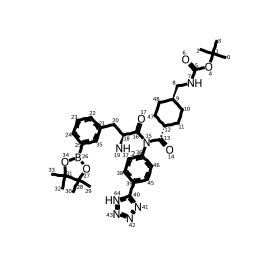 CC(C)(C)OC(=O)NC[C@H]1CC[C@H](C(=O)N(C(=O)[C@@H](N)Cc2cccc(B3OC(C)(C)C(C)(C)O3)c2)c2ccc(-c3nnn[nH]3)cc2)CC1